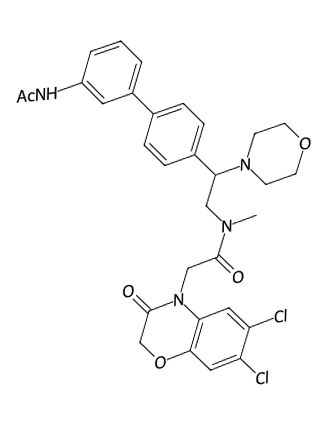 CC(=O)Nc1cccc(-c2ccc(C(CN(C)C(=O)CN3C(=O)COc4cc(Cl)c(Cl)cc43)N3CCOCC3)cc2)c1